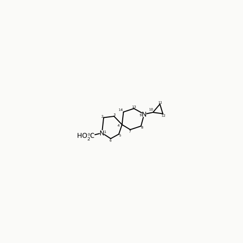 O=C(O)N1CCC2(CC1)CCN(C1CC1)CC2